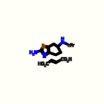 CCCNC1CCc2nc(N)sc2C1.O=C(O)C=CC(=O)O